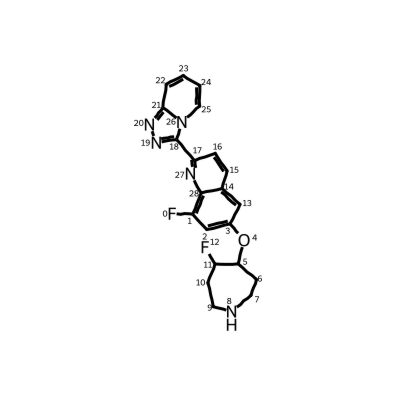 Fc1cc(OC2CCNCCC2F)cc2ccc(-c3nnc4ccccn34)nc12